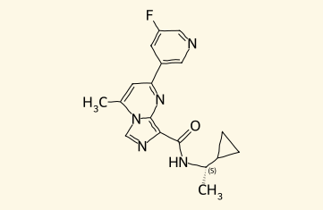 Cc1cc(-c2cncc(F)c2)nc2c(C(=O)N[C@@H](C)C3CC3)ncn12